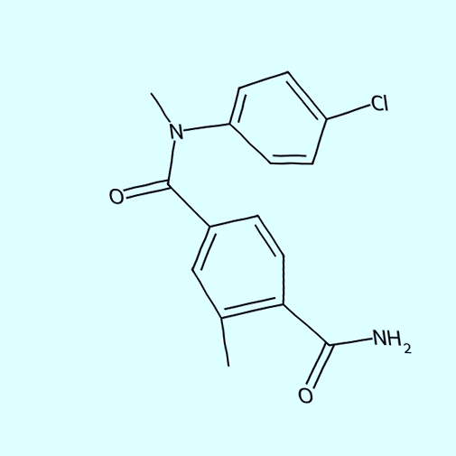 Cc1cc(C(=O)N(C)c2ccc(Cl)cc2)ccc1C(N)=O